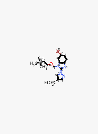 CCOC(=O)c1cnn(-c2nc3ccc(Br)cc3n2COCC[Si](C)(C)C)c1